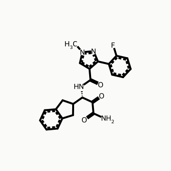 Cn1cc(C(=O)N[C@H](C(=O)C(N)=O)C2Cc3ccccc3C2)c(-c2ccccc2F)n1